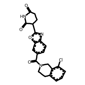 O=C1CCC(c2nc3ccc(C(=O)N4CCc5cccc(Cl)c5C4)cc3o2)C(=O)N1